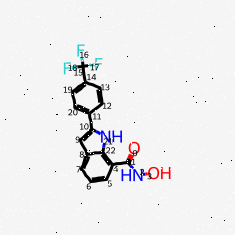 O=C(NO)c1cccc2cc(-c3ccc(C(F)(F)F)cc3)[nH]c12